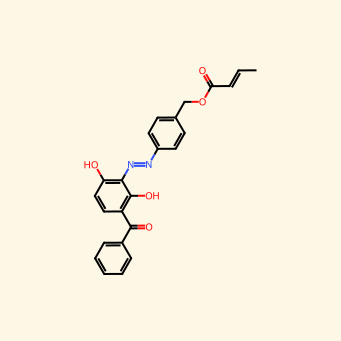 CC=CC(=O)OCc1ccc(N=Nc2c(O)ccc(C(=O)c3ccccc3)c2O)cc1